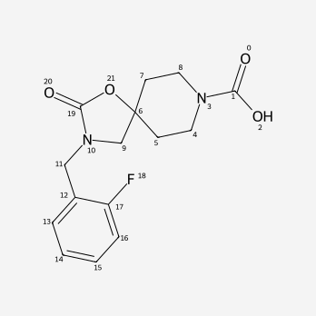 O=C(O)N1CCC2(CC1)CN(Cc1ccccc1F)C(=O)O2